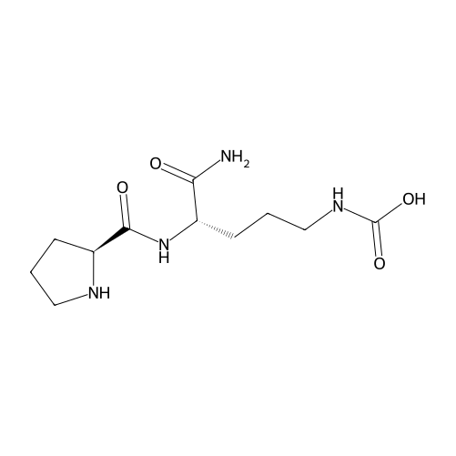 NC(=O)[C@H](CCCNC(=O)O)NC(=O)[C@@H]1CCCN1